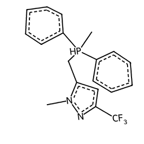 Cn1nc(C(F)(F)F)cc1C[PH](C)(c1ccccc1)c1ccccc1